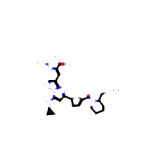 COCC1CCCCN1C(=O)C1=CCC(c2cc(NC3CC3)n3ncc(/C=C(\NC=O)C(N)=O)c3n2)S1